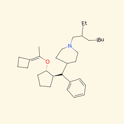 CCC(C)CC(CC)CN1CCC(C(c2ccccc2)[C@H]2CCC[C@@H]2OC(C)=C2CCC2)CC1